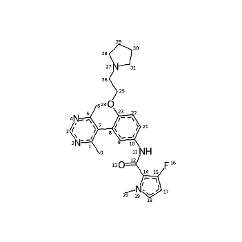 Cc1ncnc(C)c1-c1cc(NC(=O)c2c(F)ccn2C)ccc1OCCN1CCCC1